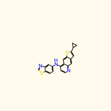 c1cc(Nc2ccc3scnc3c2)c2cc3sc(C4CC4)cc3cc2n1